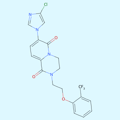 O=C1c2ccc(-n3cnc(Cl)c3)c(=O)n2CCN1CCOc1ccccc1C(F)(F)F